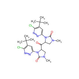 CN1CC(C(=O)C2CN(C)C(=O)N2c2cc(C(C)(C)C)c(Cl)nn2)N(c2cc(C(C)(C)C)c(Cl)nn2)C1=O